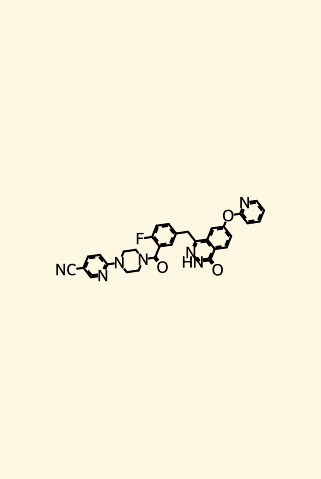 N#Cc1ccc(N2CCN(C(=O)c3cc(Cc4n[nH]c(=O)c5ccc(Oc6ccccn6)cc45)ccc3F)CC2)nc1